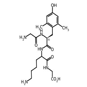 Cc1cc(O)cc(C)c1C[C@H](NC(=O)CN)C(=O)NC(CCCCN)C(=O)NCC(=O)O